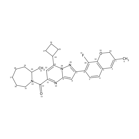 CC1=Cc2ccc(-c3cc4nc(C(=O)N5CCCCCC5C)cc(C5CCC5)n4n3)c(F)c2OC1